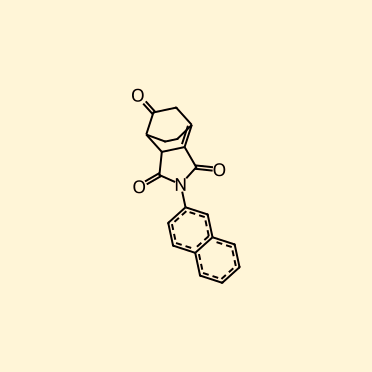 O=C1CC2=C3C(=O)N(c4ccc5ccccc5c4)C(=O)C3C1CC2